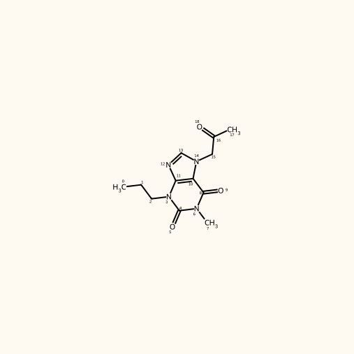 CCCn1c(=O)n(C)c(=O)c2c1ncn2CC(C)=O